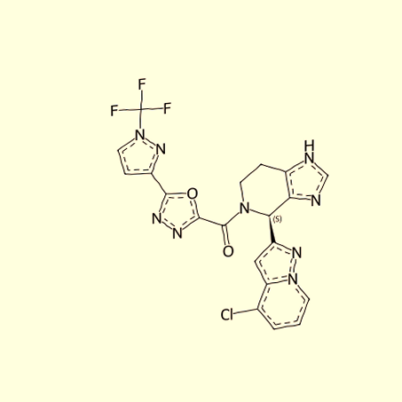 O=C(c1nnc(-c2ccn(C(F)(F)F)n2)o1)N1CCc2[nH]cnc2[C@H]1c1cc2c(Cl)cccn2n1